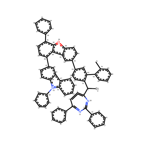 CCC(C1=C=CC(c2ccccc2)=NC(c2ccccc2)=N1)c1ccc(-c2ccc3oc4c(-c5ccccc5)ccc(-c5ccc6c(c5)c5ccccc5n6-c5ccccc5)c4c3c2)cc1-c1ccccc1C